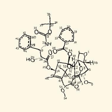 CO[C@H]1C[C@H]2OC[C@@]2(OC(C)=O)[C@H]2[C@H](OC(=O)c3ccccc3)C[C@H](OC(=O)[C@H](O)[C@@H](NC(=O)OC(C)(C)C)c3ccccc3)/C(C)=C(\C(C)(C)O)[C@@H](OC)C(=O)[C@]12C